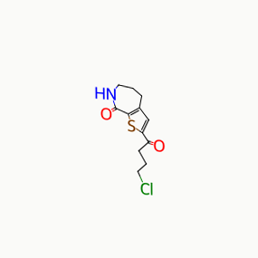 O=C(CCCCl)c1cc2c(s1)C(=O)NCCC2